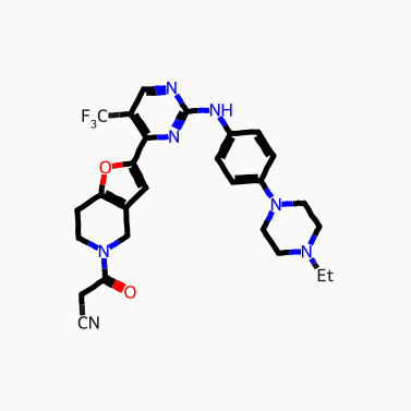 CCN1CCN(c2ccc(Nc3ncc(C(F)(F)F)c(-c4cc5c(o4)CCN(C(=O)CC#N)C5)n3)cc2)CC1